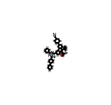 N#Cc1ccc(-c2ccc3c(c2)-c2cc(-c4nc(-c5ccccc5)nc(-c5ccc(-c6ccccc6)cc5)n4)ccc2C32c3ccccc3Sc3ccccc32)cc1